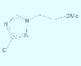 COCCn1cnc(Cl)n1